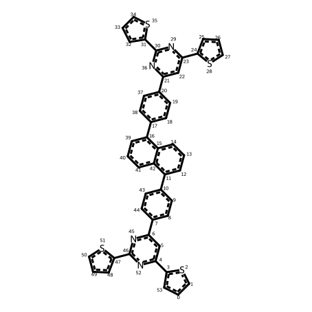 c1csc(-c2cc(-c3ccc(-c4cccc5c(-c6ccc(-c7cc(-c8cccs8)nc(-c8cccs8)n7)cc6)cccc45)cc3)nc(-c3cccs3)n2)c1